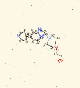 OCCOC1CCN(c2cnc3cc(-c4ccncc4)ccn23)CC1